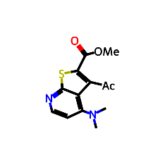 COC(=O)c1sc2nccc(N(C)C)c2c1C(C)=O